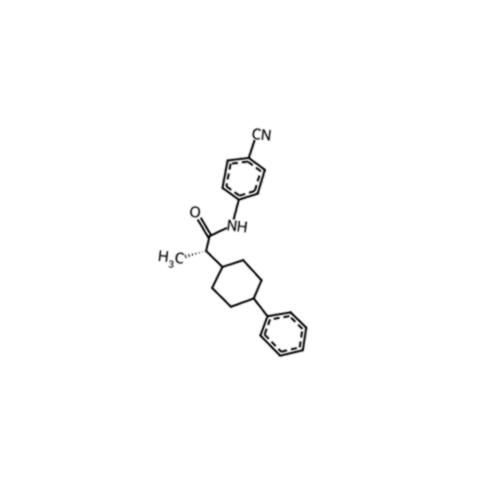 C[C@H](C(=O)Nc1ccc(C#N)cc1)C1CCC(c2ccccc2)CC1